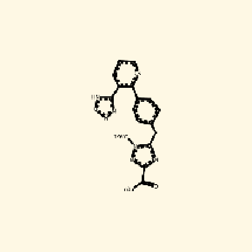 CCCCCn1nc(C(=O)CCCC)nc1Cc1ccc(-c2ncccc2-c2nnn[nH]2)cc1